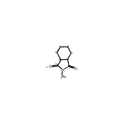 [CH2]C(CC)N1C(=O)C2CCCCC2C1=O